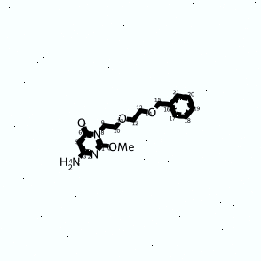 COc1nc(N)cc(=O)n1CCOCCOCc1ccccc1